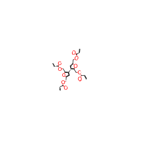 C=CC(=O)OCc1cc(-c2cc(COC(=O)C=C)oc2COC(=O)C=C)c(COC(=O)C=C)o1